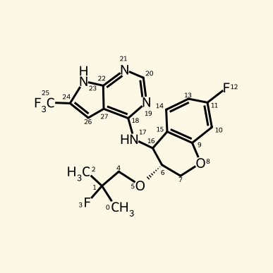 CC(C)(F)CO[C@H]1COc2cc(F)ccc2C1Nc1ncnc2[nH]c(C(F)(F)F)cc12